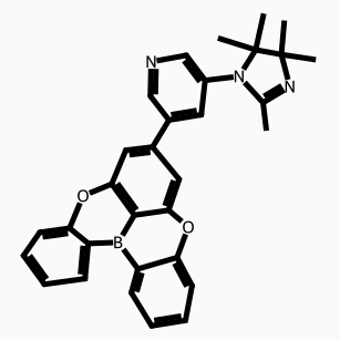 CC1=NC(C)(C)C(C)(C)N1c1cncc(-c2cc3c4c(c2)Oc2ccccc2B4c2ccccc2O3)c1